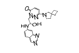 O=c1ccc(N2CCC3(CCC3)C2)nn1CC(O)Nc1ccc2cncnc2c1